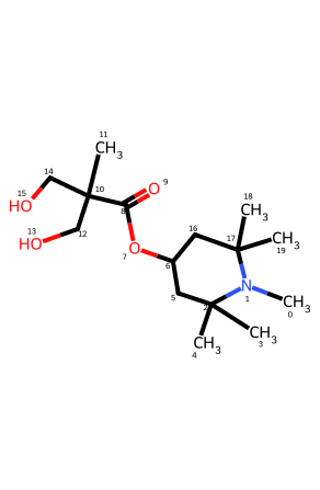 CN1C(C)(C)CC(OC(=O)C(C)(CO)CO)CC1(C)C